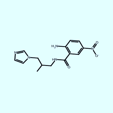 CC(CNC(=O)c1cc([N+](=O)[O-])ccc1N)Cn1ccnc1